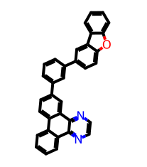 c1cc(-c2ccc3oc4ccccc4c3c2)cc(-c2ccc3c4ccccc4c4nccnc4c3c2)c1